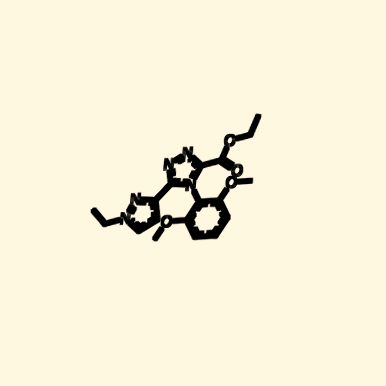 CCOC(=O)c1nnc(-c2ccn(CC)n2)n1-c1c(OC)cccc1OC